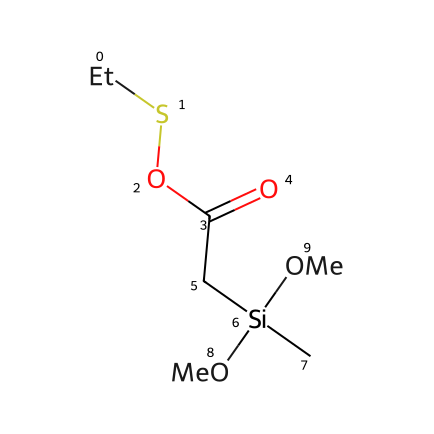 CCSOC(=O)C[Si](C)(OC)OC